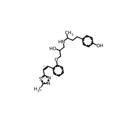 Cc1nnc(/C=C\c2ccccc2OCC(O)CNC(C)CCc2ccc(O)cc2)s1